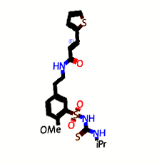 COc1ccc(CCNC(=O)/C=C/c2cccs2)cc1S(=O)(=O)NC(=S)NC(C)C